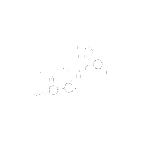 CCOC(=O)[C@@H]1CCCC[C@H](NC(=O)/C=C/c2cc(Cl)ccc2N(N)/C=N\N)c2cc(ccn2)-c2ccc(NC)cc2N1